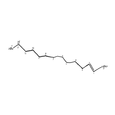 CCCCC=CCCCCCCCCCNCCCC